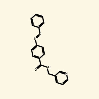 O=C(NCc1cccnc1)c1ccc(N=Nc2ccccc2)cc1